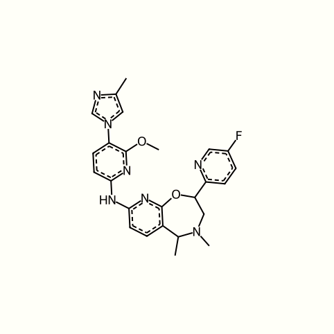 COc1nc(Nc2ccc3c(n2)OC(c2ccc(F)cn2)CN(C)C3C)ccc1-n1cnc(C)c1